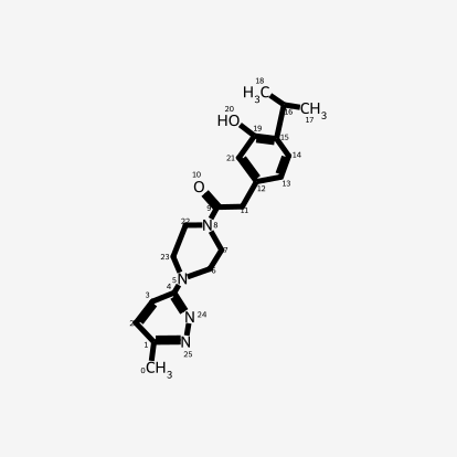 Cc1ccc(N2CCN(C(=O)Cc3ccc(C(C)C)c(O)c3)CC2)nn1